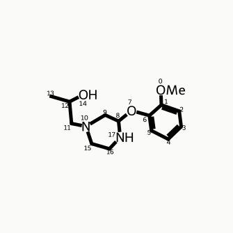 COc1ccccc1OC1CN(CC(C)O)CCN1